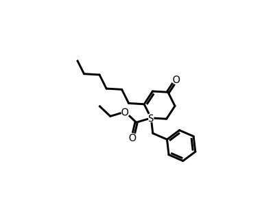 CCCCCCC1=CC(=O)CCS1(Cc1ccccc1)C(=O)OCC